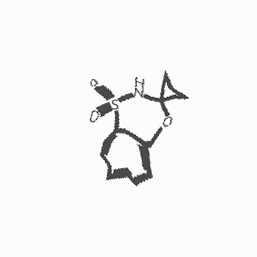 O=S1(=O)NC2(CC2)Oc2ccccc21